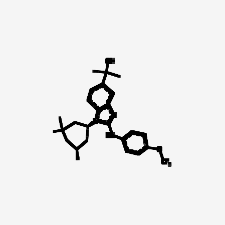 C[C@@H]1C[C@H](n2c(Nc3ccc(OC(F)(F)F)cc3)nc3cc(C(C)(C)O)ccc32)CC(C)(C)C1